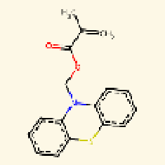 C=C(C)C(=O)OCN1c2ccccc2Sc2ccccc21